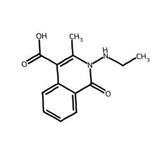 CCNn1c(C)c(C(=O)O)c2ccccc2c1=O